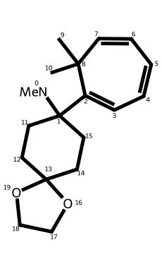 CNC1(C2=CC=CC=CC2(C)C)CCC2(CC1)OCCO2